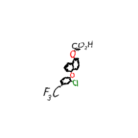 C[C@@H](Oc1cccc2c(Oc3ccc(C(F)(F)F)cc3Cl)cccc12)C(=O)O